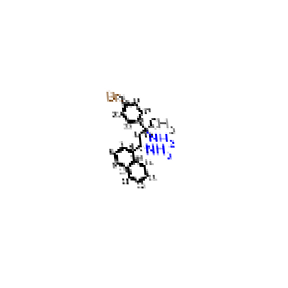 C[C@](N)(C[C@H](N)c1cccc2ccccc12)c1ccc(Br)cc1